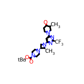 CC1CN(c2cc(N3C[C@@H](N4CCN(C(=O)OC(C)(C)C)CC4)[C@H]3C)nc(C(F)(F)F)n2)CCC1=O